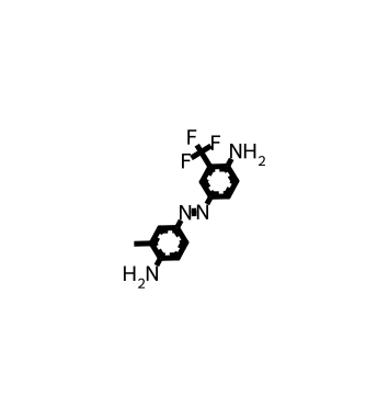 Cc1cc(N=Nc2ccc(N)c(C(F)(F)F)c2)ccc1N